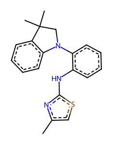 Cc1csc(Nc2ccccc2N2CC(C)(C)c3ccccc32)n1